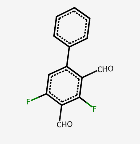 O=Cc1c(F)cc(-c2ccccc2)c(C=O)c1F